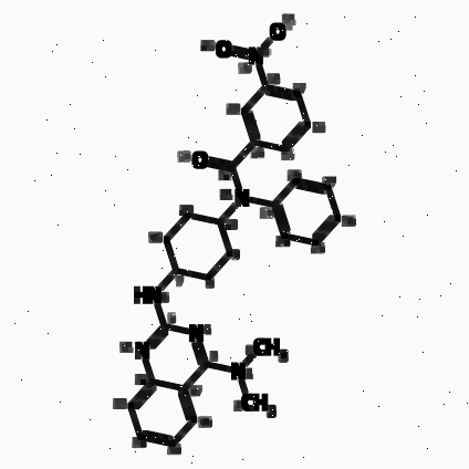 CN(C)c1nc(NC2CCC(N(C(=O)c3cccc([N+](=O)[O-])c3)c3ccccc3)CC2)nc2ccccc12